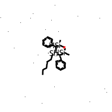 CCCCC[CH2][Sn]([CH](c1ccccc1)[SiH](C)C)[CH](c1ccccc1)[SiH](C)C